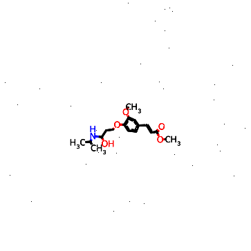 COC(=O)C=Cc1ccc(OCCC(O)NC(C)C)c(OC)c1